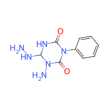 NNC1NC(=O)N(c2ccccc2)C(=O)N1N